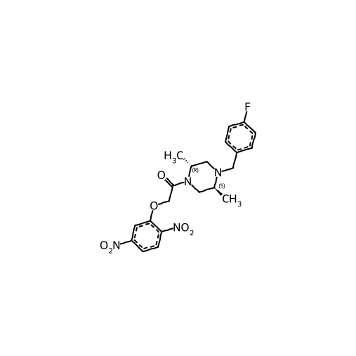 C[C@@H]1CN(Cc2ccc(F)cc2)[C@@H](C)CN1C(=O)COc1cc([N+](=O)[O-])ccc1[N+](=O)[O-]